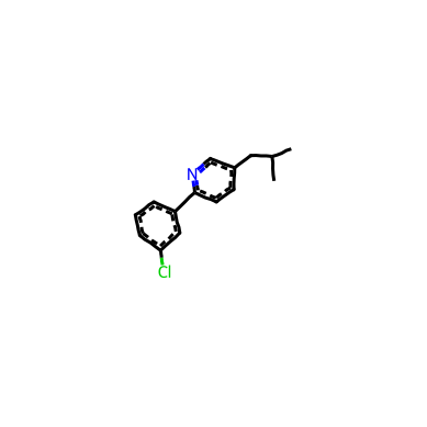 CC(C)Cc1ccc(-c2cccc(Cl)c2)nc1